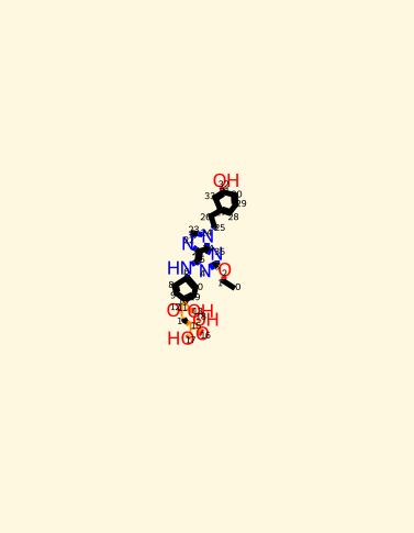 CCOc1nc(Nc2ccc(P(=O)(O)CP(=O)(O)O)cc2)c2ncn(CCc3cccc(O)c3)c2n1